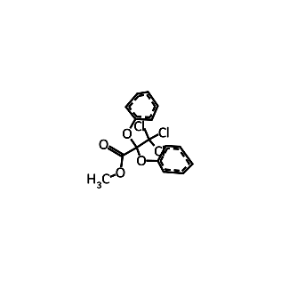 COC(=O)C(Oc1ccccc1)(Oc1ccccc1)C(Cl)(Cl)Cl